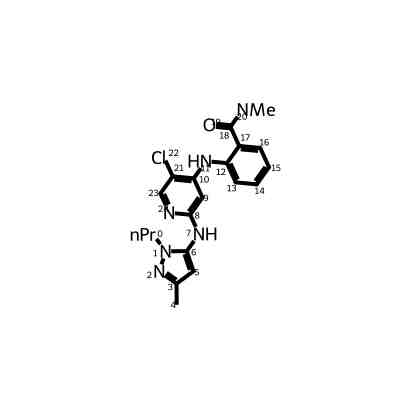 CCCn1nc(C)cc1Nc1cc(Nc2ccccc2C(=O)NC)c(Cl)cn1